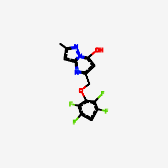 Cc1cc2nc(COc3c(F)c(F)cc(F)c3F)cc(O)n2n1